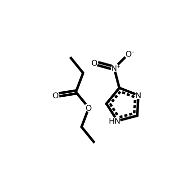 CCOC(=O)CC.O=[N+]([O-])c1c[nH]cn1